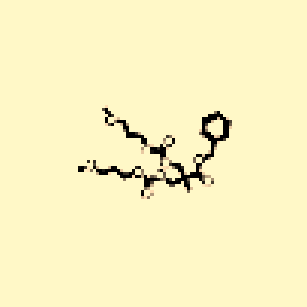 COCCCOC(=O)OCC(C)(COC(=O)OCCCOC)C(=O)OCc1ccccc1